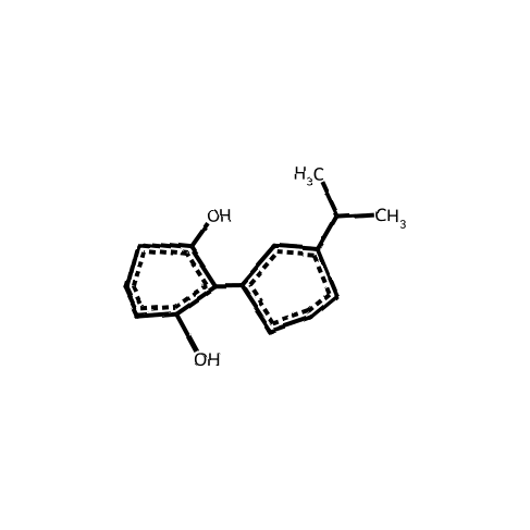 CC(C)c1cccc(-c2c(O)cccc2O)c1